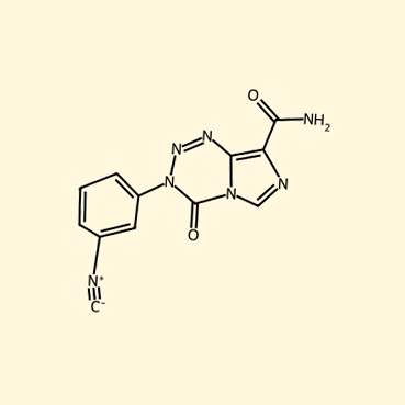 [C-]#[N+]c1cccc(-n2nnc3c(C(N)=O)ncn3c2=O)c1